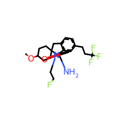 COC1CCC2(CC1)Cc1ccc(CCC(F)(F)F)cc1C21N=C(N)N(CCF)C1=O